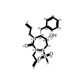 C=CCN1C(=O)N(CC=C)N(S(C)(=O)=O)C[C@@H](O)[C@H]1Cc1ccccc1